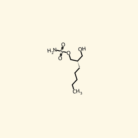 CCCCC[C@@H](CO)COS(N)(=O)=O